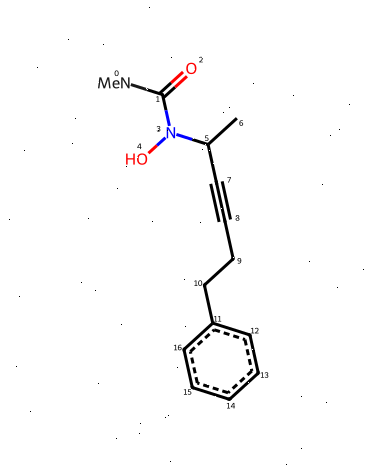 CNC(=O)N(O)C(C)C#CCCc1ccccc1